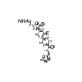 CC(=O)NCC1CN(c2ccc(N3CCN(C(=O)CSc4nnco4)CC3)c(F)c2)C(=O)O1